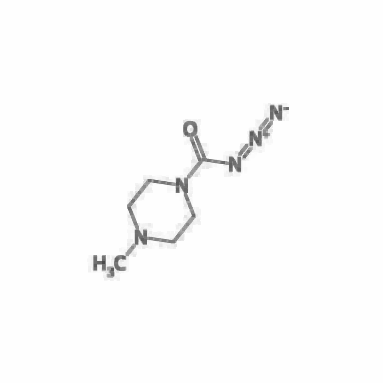 CN1CCN(C(=O)N=[N+]=[N-])CC1